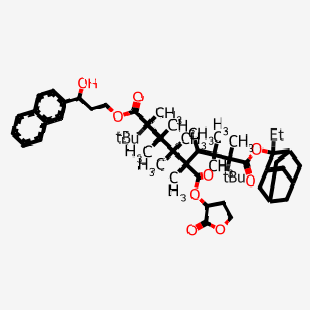 CCC1(OC(=O)C(C)(C(C)(C)C)C(C)(C)C(C)C(C)(C(=O)OC2CCOC2=O)C(C)(C)C(C)(C)C(C)(C(=O)OCCC(O)c2ccc3ccccc3c2)C(C)(C)C)C2CC3CC(C2)CC1C3